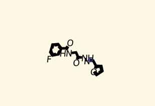 O=C(CNC(=O)c1cccc(F)c1)N/N=C/c1ccco1